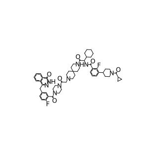 O=C(N[C@@H](C(=O)N1CCC2(CCN(CC(=O)N3CCN(C(=O)c4cc(Cc5n[nH]c(=O)c6ccccc56)ccc4F)CC3)CC2)CC1)C1CCCCC1)c1cccc(C2CCN(C(=O)C3CC3)CC2)c1F